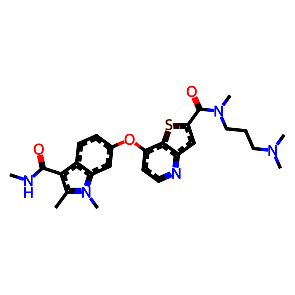 CNC(=O)c1c(C)n(C)c2cc(Oc3ccnc4cc(C(=O)N(C)CCCN(C)C)sc34)ccc12